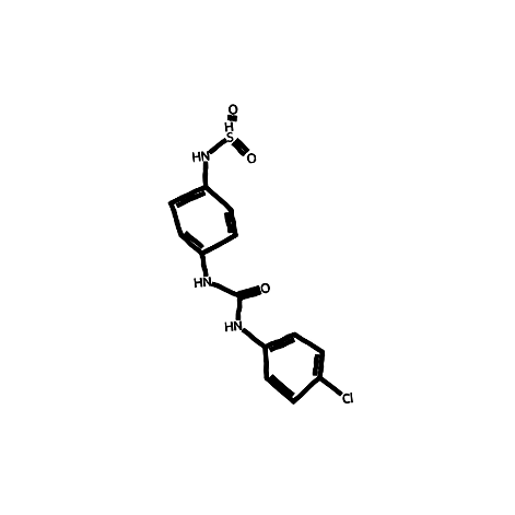 O=C(Nc1ccc(Cl)cc1)Nc1ccc(N[SH](=O)=O)cc1